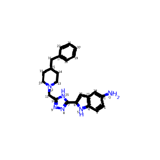 Nc1ccc2[nH]c(-c3nnc(CN4CCC(Cc5ccccc5)CC4)[nH]3)cc2c1